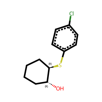 O[C@@H]1CCCC[C@H]1Sc1ccc(Cl)cc1